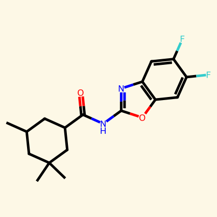 CC1CC(C(=O)Nc2nc3cc(F)c(F)cc3o2)CC(C)(C)C1